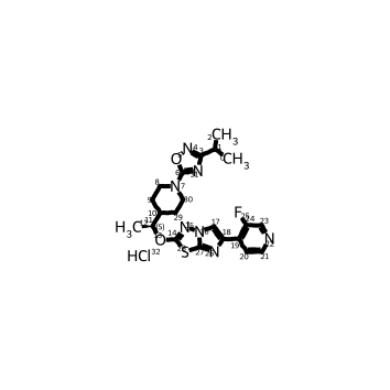 CC(C)c1noc(N2CCC([C@H](C)Oc3nn4cc(-c5ccncc5F)nc4s3)CC2)n1.Cl